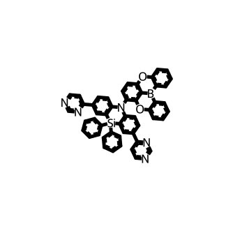 c1ccc([Si]2(c3ccccc3)c3cc(-c4ccncn4)ccc3N(c3ccc4c5c3Oc3ccccc3B5c3ccccc3O4)c3ccc(-c4ccncn4)cc32)cc1